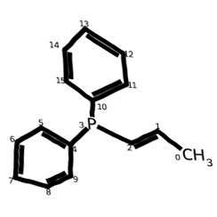 CC=CP(c1ccccc1)c1ccccc1